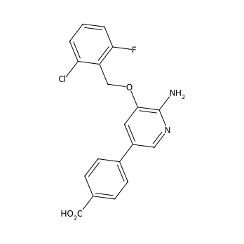 Nc1ncc(-c2ccc(C(=O)O)cc2)cc1OCc1c(F)cccc1Cl